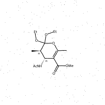 CCOC1(OCC)OC(C)=C(C(=O)OC)[C@H](NC(C)=O)[C@H]1C